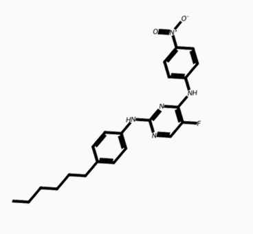 CCCCCCc1ccc(Nc2ncc(F)c(Nc3ccc([N+](=O)[O-])cc3)n2)cc1